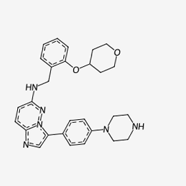 c1ccc(OC2CCOCC2)c(CNc2ccc3ncc(-c4ccc(N5CCNCC5)cc4)n3n2)c1